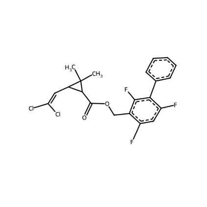 CC1(C)C(C=C(Cl)Cl)C1C(=O)OCc1c(F)cc(F)c(-c2ccccc2)c1F